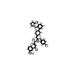 CC(C)(C)c1ccc2oc(C(=O)N[C@@H](C=C3CCC(c4ccccc4CN4CCCC4=O)CC3)Cc3ccc(Cl)cc3)cc(=O)c2c1